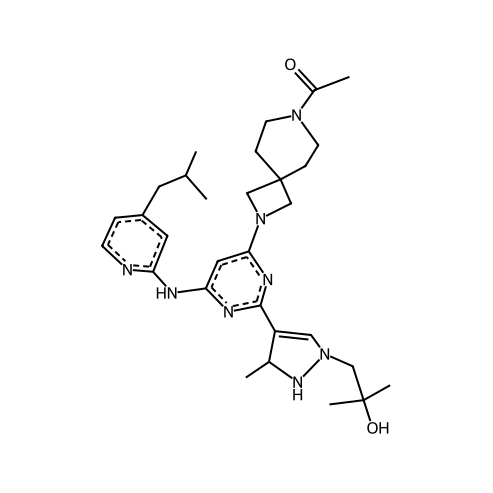 CC(=O)N1CCC2(CC1)CN(c1cc(Nc3cc(CC(C)C)ccn3)nc(C3=CN(CC(C)(C)O)NC3C)n1)C2